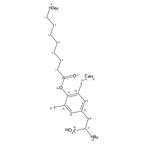 CCCCCCCCCCCCCCCCCC(=O)Oc1c(I)cc(CC(CCCC)C(=O)O)cc1I.[CaH2]